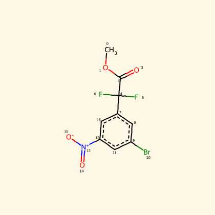 COC(=O)C(F)(F)c1cc(Br)cc([N+](=O)[O-])c1